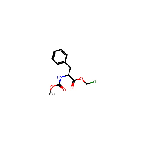 CC(C)(C)OC(=O)N[C@@H](Cc1ccccc1)C(=O)OCCl